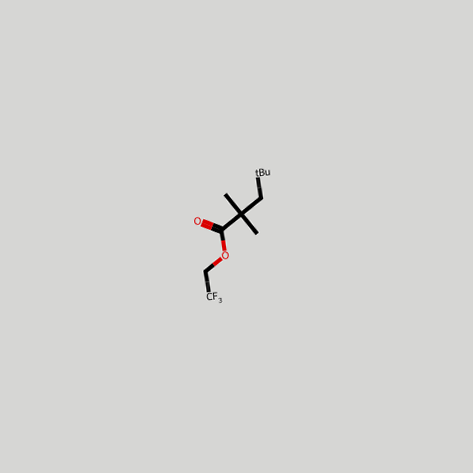 CC(C)(C)CC(C)(C)C(=O)OCC(F)(F)F